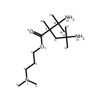 CN(C)CCCOC(=O)C(C)(CC(C)(C)N)C(C)(C)N